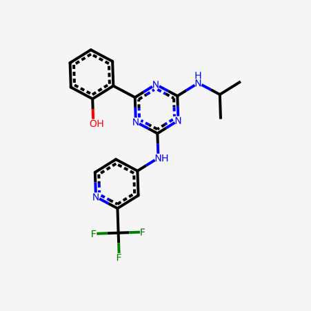 CC(C)Nc1nc(Nc2ccnc(C(F)(F)F)c2)nc(-c2ccccc2O)n1